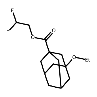 CCOC12CC3CC(C1)CC(C(=O)OCC(F)F)(C3)C2